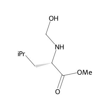 COC(=O)[C@H](CC(C)C)NCO